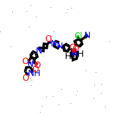 N#Cc1ccc(OC2C[C@H]3CC[C@@H](C2)N3C(=O)c2ccc(N3CCN(C(=O)C4CC5(C4)CN(c4ccc6c(c4)C(=O)N(C4CCC(=O)NC4=O)C6=O)C5)CC3)cc2)cc1Cl